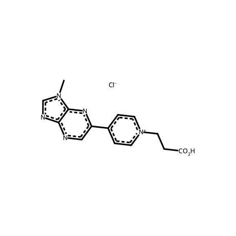 Cn1cnc2ncc(-c3cc[n+](CCC(=O)O)cc3)nc21.[Cl-]